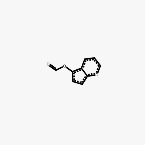 O=COc1ccc2occcc1-2